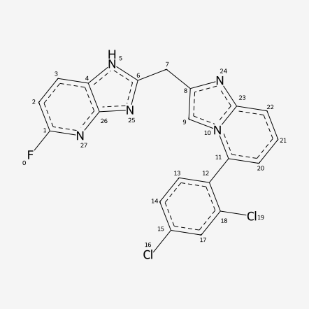 Fc1ccc2[nH]c(Cc3cn4c(-c5ccc(Cl)cc5Cl)cccc4n3)nc2n1